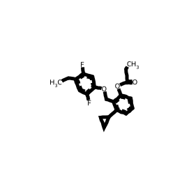 CCC(=O)Oc1cccc(C2CC2)c1COc1cc(F)c(CC)cc1F